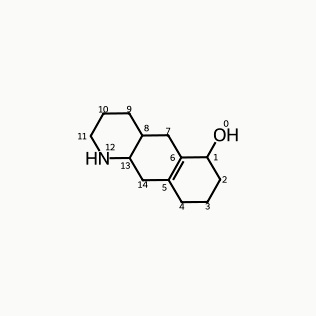 OC1CCCC2=C1CC1CCCNC1C2